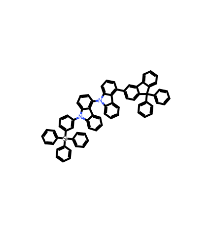 c1ccc(C2(c3ccccc3)c3ccccc3-c3cc(-c4cccc5c4c4ccccc4n5-c4cccc5c4c4ccccc4n5-c4cccc([Si](c5ccccc5)(c5ccccc5)c5ccccc5)c4)ccc32)cc1